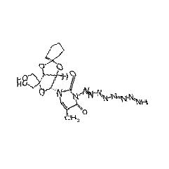 Cc1cn([C@@H]2OC(CO)(CO)C3OC4(CCCCC4)O[C@@H]32)c(=O)n(N=NN=NN=NN=N)c1=O